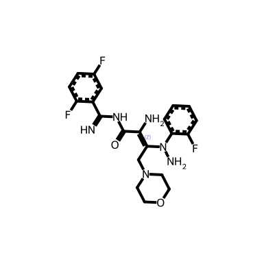 N=C(NC(=O)/C(N)=C(\CN1CCOCC1)N(N)c1ccccc1F)c1cc(F)ccc1F